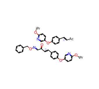 CC(=O)/C=C/c1ccc(Oc2ccc(OC(C)C)nc2)cc1.CC(C)Oc1ccc(Oc2ccc(/C=C/C(=O)C=NOCc3ccccc3)cc2)cn1